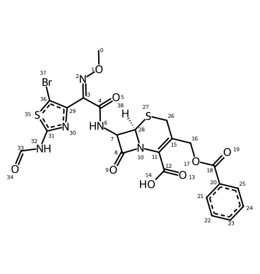 CO/N=C(\C(=O)NC1C(=O)N2C(C(=O)O)=C(COC(=O)c3ccccc3)CS[C@H]12)c1nc(NC=O)sc1Br